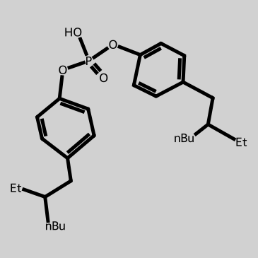 CCCCC(CC)Cc1ccc(OP(=O)(O)Oc2ccc(CC(CC)CCCC)cc2)cc1